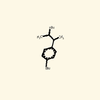 CCCCC(C)C(C)c1ccc(C(C)(C)C)cc1